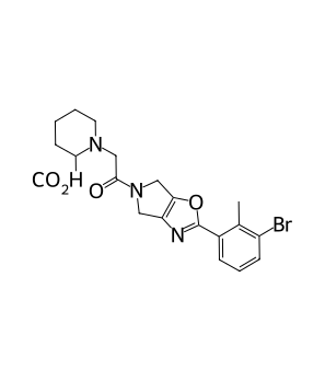 Cc1c(Br)cccc1-c1nc2c(o1)CN(C(=O)CN1CCCCC1C(=O)O)C2